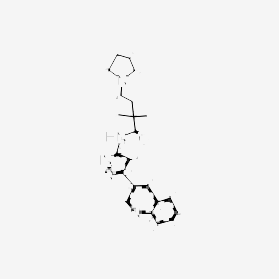 CC(C)(CCN1CCCC1)C(=O)Nc1cc(-c2cnc3ccccc3c2)n[nH]1